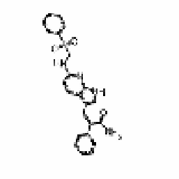 NC(=O)C(=Cc1c[nH]c2nc(NCS(=O)(=O)c3ccccc3)ccc12)c1ccccc1